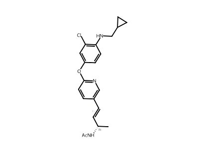 CC(=O)N[C@@H](C)/C=C/c1ccc(Oc2ccc(NCC3CC3)c(Cl)c2)nc1